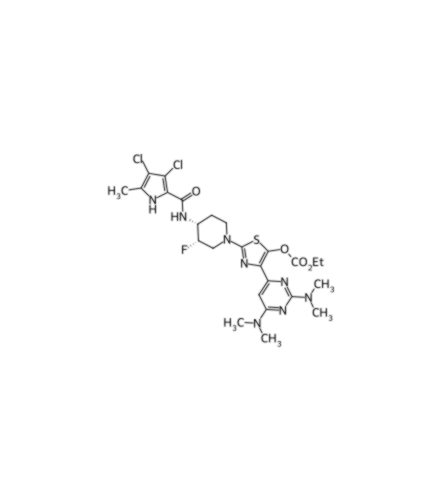 CCOC(=O)Oc1sc(N2CC[C@@H](NC(=O)c3[nH]c(C)c(Cl)c3Cl)[C@@H](F)C2)nc1-c1cc(N(C)C)nc(N(C)C)n1